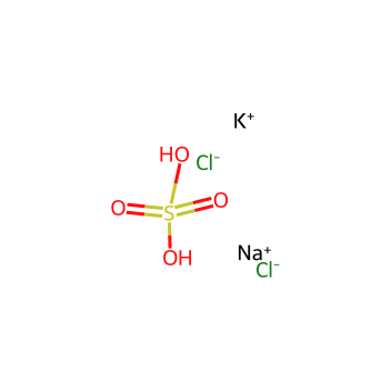 O=S(=O)(O)O.[Cl-].[Cl-].[K+].[Na+]